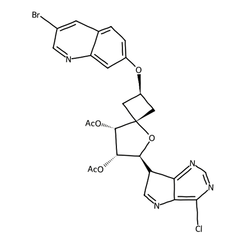 CC(=O)O[C@H]1[C@H](C2C=Nc3c(Cl)ncnc32)O[C@]2(C[C@H](Oc3ccc4cc(Br)cnc4c3)C2)[C@H]1OC(C)=O